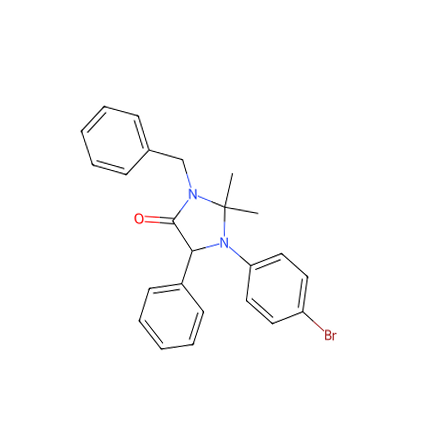 CC1(C)N(Cc2ccccc2)C(=O)C(c2ccccc2)N1c1ccc(Br)cc1